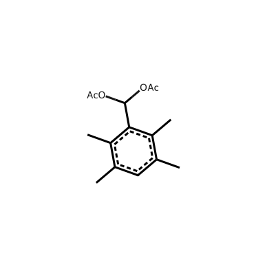 CC(=O)OC(OC(C)=O)c1c(C)c(C)cc(C)c1C